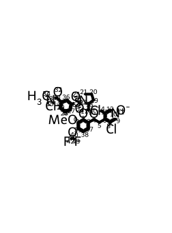 COc1cc(C(Cc2c(Cl)c[n+]([O-])cc2Cl)OC(=O)C2CCCN2S(=O)(=O)c2cccc(C(=O)N(C)C)c2)ccc1OC(F)F